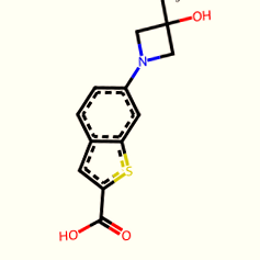 CC1(O)CN(c2ccc3cc(C(=O)O)sc3c2)C1